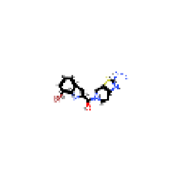 Nc1nc2c(s1)CN(C(=O)c1cc3cccc(Br)c3[nH]1)CC2